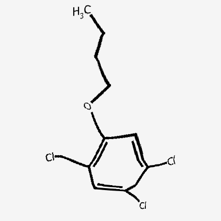 CCCCOc1cc(Cl)c(Cl)cc1Cl